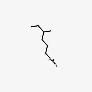 CCC(C)CC[CH2][Mg][Br]